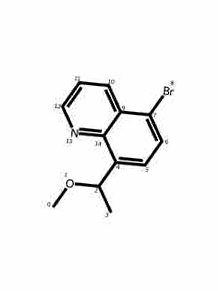 COC(C)c1ccc(Br)c2cccnc12